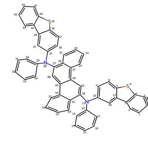 c1ccc2c(c#1)sc1ccc(N(c3ccccc3)c3cc4c5ccccc5c(N(c5ccccc5)c5ccc6sc7ccccc7c6c5)cc4c4ccccc34)cc12